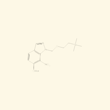 COc1ccc2cnn(COCC[Si](C)(C)C)c2c1[N+](=O)[O-]